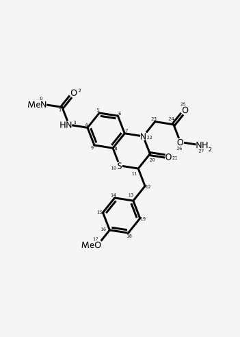 CNC(=O)Nc1ccc2c(c1)SC(Cc1ccc(OC)cc1)C(=O)N2CC(=O)ON